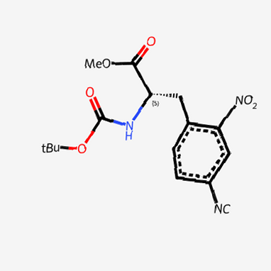 [C-]#[N+]c1ccc(C[C@H](NC(=O)OC(C)(C)C)C(=O)OC)c([N+](=O)[O-])c1